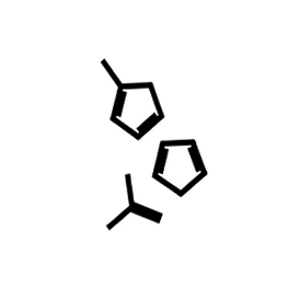 C1=CCC=C1.C=C(C)C.CC1=CC=CC1